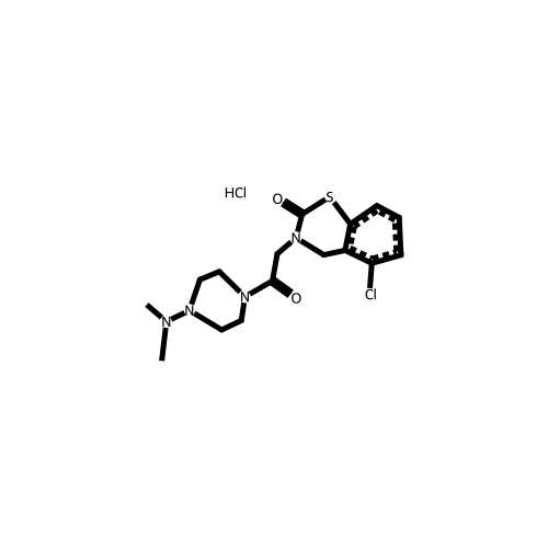 CN(C)N1CCN(C(=O)CN2Cc3c(Cl)cccc3SC2=O)CC1.Cl